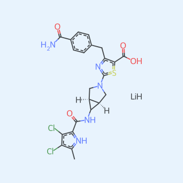 Cc1[nH]c(C(=O)NC2[C@H]3CN(c4nc(Cc5ccc(C(N)=O)cc5)c(C(=O)O)s4)C[C@@H]23)c(Cl)c1Cl.[LiH]